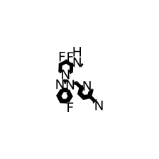 CNC1CN(c2nc3ccc(F)cc3n2Cc2ccc(C#N)cn2)CCC1(F)F